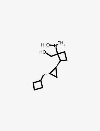 CN(C)C1(CO)CCC1[C@H]1C[C@@H]1CC1CCC1